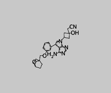 N#CCC1(O)CC(n2cc(-c3cccc(OCC45CCC(CC4)O5)c3)c3c(N)ncnc32)C1